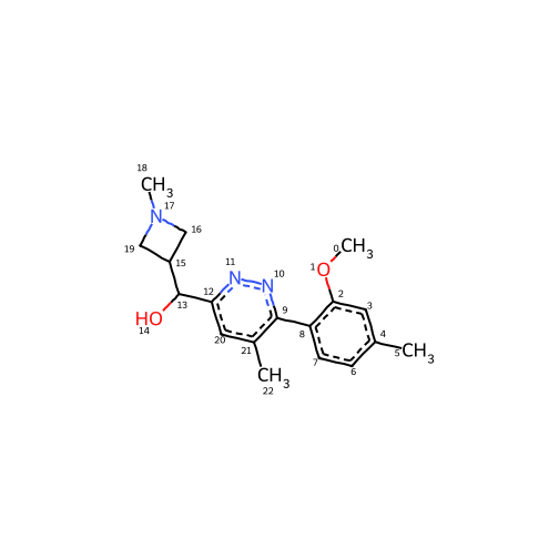 COc1cc(C)ccc1-c1nnc(C(O)C2CN(C)C2)cc1C